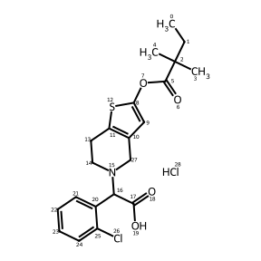 CCC(C)(C)C(=O)Oc1cc2c(s1)CCN(C(C(=O)O)c1ccccc1Cl)C2.Cl